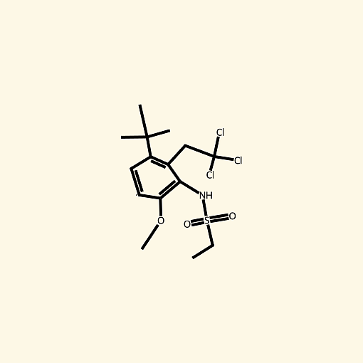 CCS(=O)(=O)Nc1c(OC)[c]cc(C(C)(C)C)c1CC(Cl)(Cl)Cl